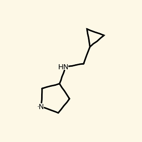 C1CC(NCC2CC2)C[N]1